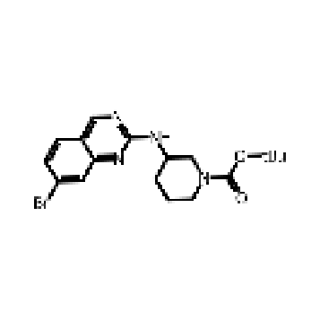 CC(C)(C)OC(=O)N1CCCC(Nc2ncc3ccc(Br)cc3n2)C1